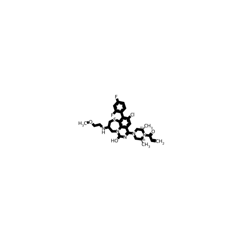 C=CC(=O)N1[C@H](C)CN(C2=NC(O)N3CC(NCCOC)CSc4c(-c5ccc(F)cc5F)c(Cl)cc2c43)C[C@@H]1C